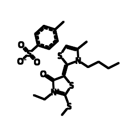 CCCCN1C(C)=CSC1=C1SC(SC)=[N+](CC)C1=O.Cc1ccc(S(=O)(=O)[O-])cc1